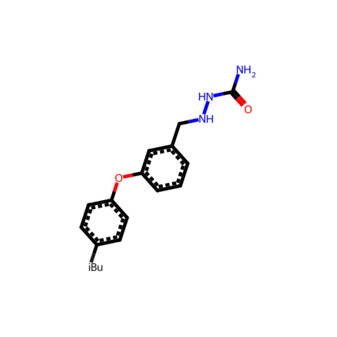 CCC(C)c1ccc(Oc2cccc(CNNC(N)=O)c2)cc1